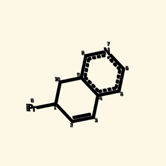 CC(C)C1C=Cc2ccncc2C1